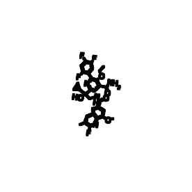 CCOc1c(C(N)=O)cc([C@@](O)(CNC(=O)c2cc(OC)c3nc(F)c(C)cc3c2)C2CC2)nc1-c1cc(F)c(F)cc1F